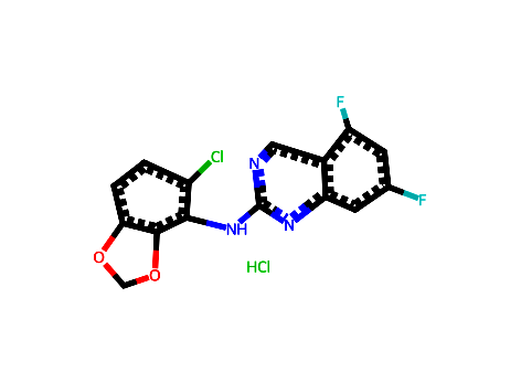 Cl.Fc1cc(F)c2cnc(Nc3c(Cl)ccc4c3OCO4)nc2c1